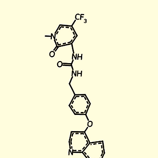 Cn1cc(C(F)(F)F)cc(NC(=O)NCc2ccc(Oc3ccnc4ccccc34)cc2)c1=O